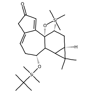 C[C@@H]1C[C@@H]2C(C3[C@H](O[Si](C)(C)C(C)(C)C)CC=C4CC(=O)C=C4[C@]31O[Si](C)(C)C)C2(C)C